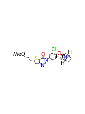 COCCCc1cc2ncn(-c3ccc(O[C@H]4C[C@H]5CC[C@@H](C4)N5C)c(Cl)c3)c(=O)c2s1